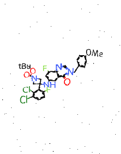 COc1ccc(Cn2cnc3c(F)cc(NC4(c5c(F)ccc(Cl)c5Cl)CN(C(=O)OC(C)(C)C)C4)cc3c2=O)cc1